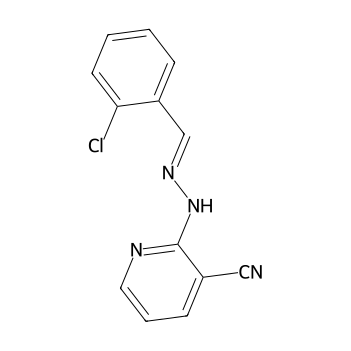 N#Cc1cccnc1N/N=C/c1ccccc1Cl